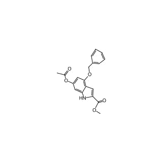 COC(=O)c1cc2c(OCc3ccccc3)cc(OC(C)=O)cc2[nH]1